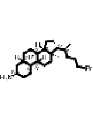 CC(C)CCC[C@H](C)[C@H]1CC[C@H]2[C@@H]3CC[C@H]4C[C@H](N)CC[C@]4(C)[C@H]3CC[C@]12C